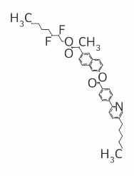 CCCCCCc1ccc(-c2ccc(C(=O)Oc3ccc4cc([C@H](C)C(=O)OC[C@@H](F)[C@H](F)CCCCC)ccc4c3)cc2)nc1